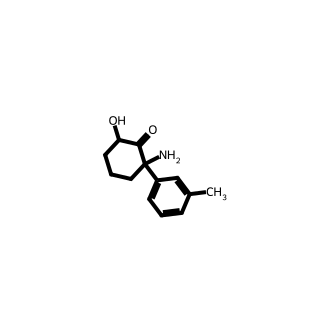 Cc1cccc(C2(N)CCCC(O)C2=O)c1